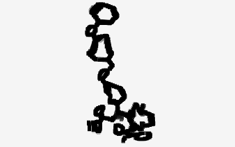 CS(=O)(=O)n1ccnc1[C@@H](CC(=O)O)c1ccc(OCc2ccc(Oc3ccccc3)cc2)cc1